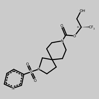 O=C(O[C@H](CO)C(F)(F)F)N1CCC2(CC1)CCN(S(=O)(=O)c1cccnc1)C2